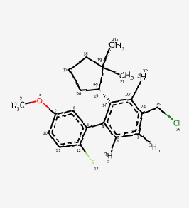 [3H]c1c([3H])c(-c2cc(OC)ccc2F)c([C@@H]2CCCC2(C)C)c([3H])c1CCl